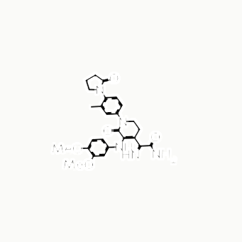 COc1ccc(NC2=C(C(=N)C(N)=O)CCN(c3ccc(N4CCCC4=O)c(C)c3)C2=O)cc1OC